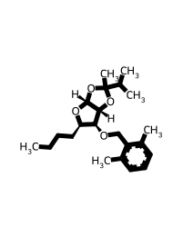 CCCC[C@H]1O[C@@H]2OC(C)(C(C)C)O[C@@H]2[C@H]1OCc1c(C)cccc1C